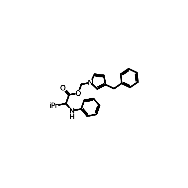 CC(C)C(Nc1ccccc1)C(=O)OCn1ccc(Cc2ccccc2)c1